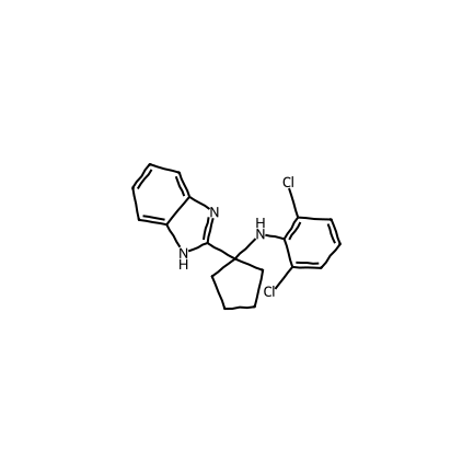 Clc1cccc(Cl)c1NC1(c2nc3ccccc3[nH]2)CCCC1